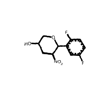 O=[N+]([O-])C1CC(O)COC1c1cc(F)ccc1F